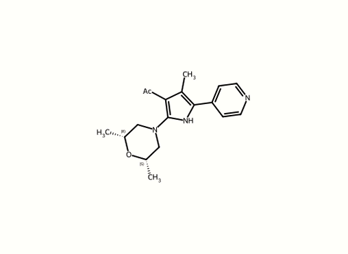 CC(=O)c1c(N2C[C@@H](C)O[C@@H](C)C2)[nH]c(-c2ccncc2)c1C